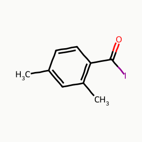 Cc1ccc(C(=O)I)c(C)c1